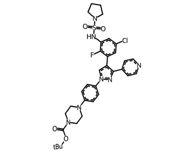 CC(C)(C)OC(=O)N1CCN(c2ccc(-n3cc(-c4cc(Cl)cc(NS(=O)(=O)N5CCCC5)c4F)c(-c4ccncc4)n3)cc2)CC1